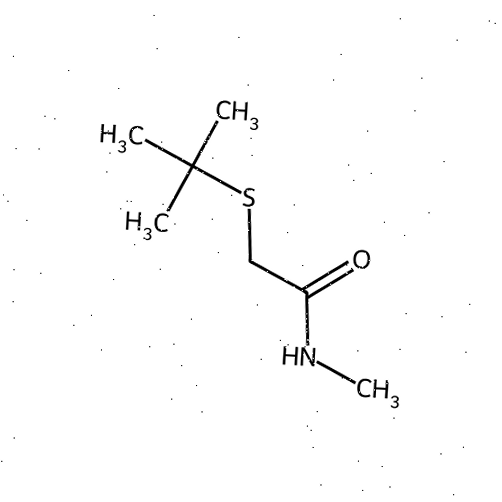 CNC(=O)CSC(C)(C)C